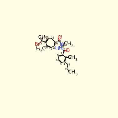 CCCc1cccc(C(=O)NN(C)C(=O)[C@@H]2CC=C(C)C(C(C)Br)=CC2)c1C